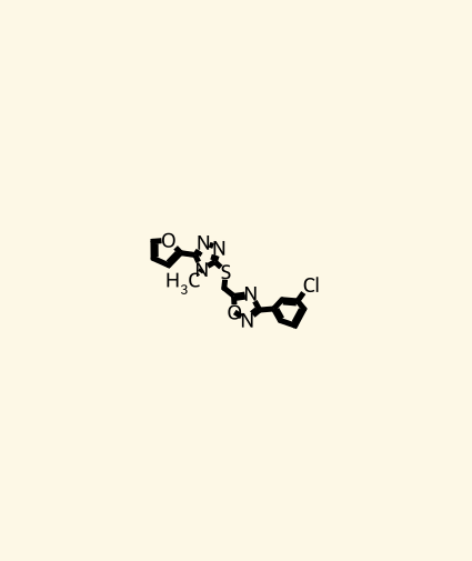 Cn1c(SCc2nc(-c3cccc(Cl)c3)no2)nnc1-c1ccco1